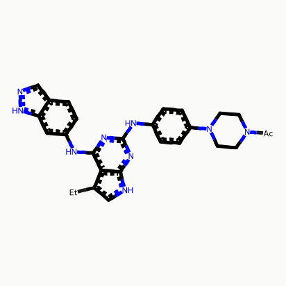 CCc1c[nH]c2nc(Nc3ccc(N4CCN(C(C)=O)CC4)cc3)nc(Nc3ccc4cn[nH]c4c3)c12